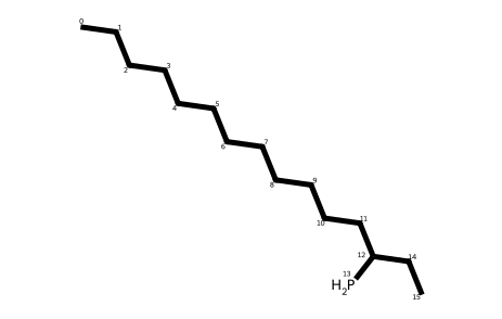 CCCCCCCCCCCCC(P)CC